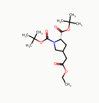 CCOC(=O)CC1C[C@@H](C(=O)OC(C)(C)C)N(C(=O)OC(C)(C)C)C1